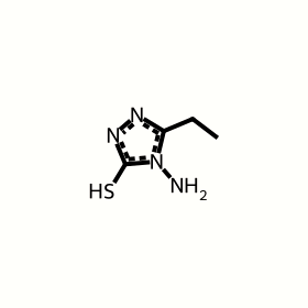 CCc1nnc(S)n1N